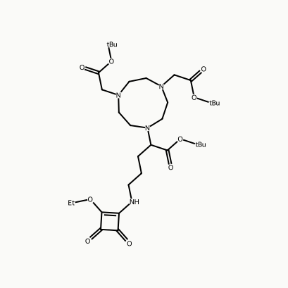 CCOc1c(NCCCC(C(=O)OC(C)(C)C)N2CCN(CC(=O)OC(C)(C)C)CCN(CC(=O)OC(C)(C)C)CC2)c(=O)c1=O